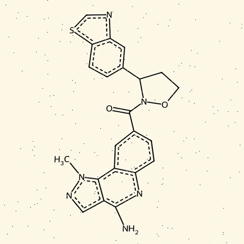 Cn1ncc2c(N)nc3ccc(C(=O)N4OCCC4c4ccc5scnc5c4)cc3c21